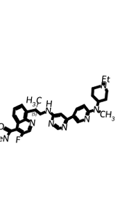 CCN1CCC(N(C)c2ccc(-c3cc(NC[C@@H](C)c4cccc5c(C(=O)NC)c(F)cnc45)ncn3)cn2)CC1